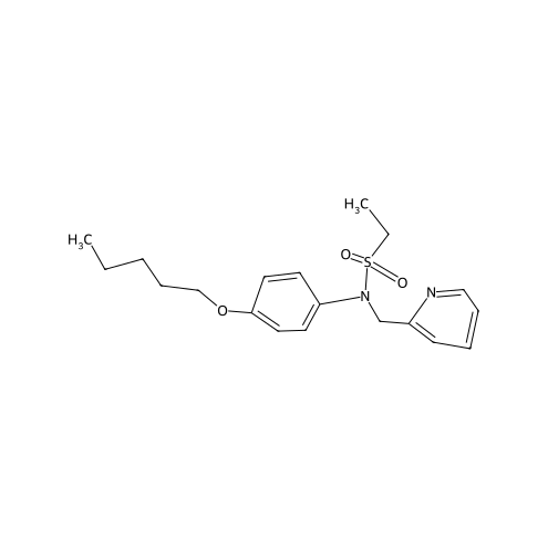 CCCCCOc1ccc(N(Cc2ccccn2)S(=O)(=O)CC)cc1